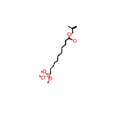 C=C(C)COC(=O)CCCCCCCCC[CH2][Ti]([O]C)([O]C)[O]C